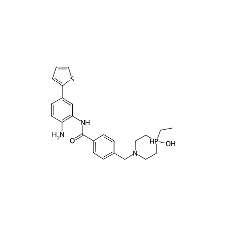 CC[PH]1(O)CCN(Cc2ccc(C(=O)Nc3cc(-c4cccs4)ccc3N)cc2)CC1